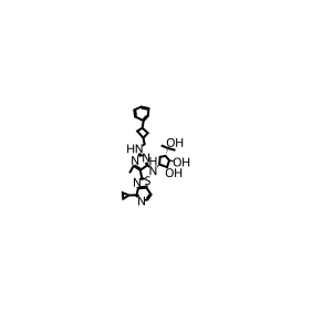 Cc1nc(NCC2CC(c3ccccc3)C2)nc(N[C@@H]2C[C@H](C(C)(C)O)[C@@H](O)[C@H]2O)c1-c1nc2c(C3CC3)nccc2s1